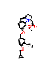 CC(C)(C)OC(=O)CC1CCc2cc3ccc(OCc4ccc(OCC5CC5)c(C(F)(F)F)c4)cc3n21